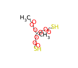 CCCC(=O)OCCOCC(CC)(COCCOC(=O)CS)COCCOC(=O)CCS